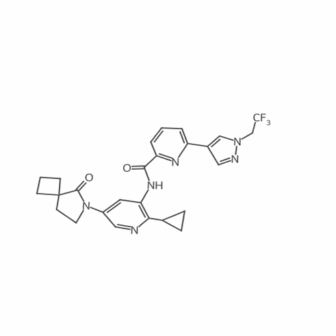 O=C(Nc1cc(N2CCC3(CCC3)C2=O)cnc1C1CC1)c1cccc(-c2cnn(CC(F)(F)F)c2)n1